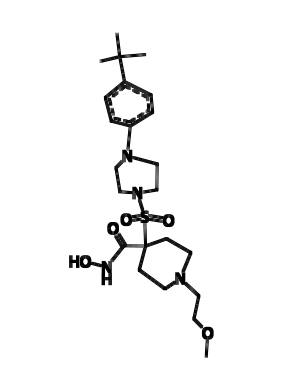 COCCN1CCC(C(=O)NO)(S(=O)(=O)N2CCN(c3ccc(C(C)(C)C)cc3)CC2)CC1